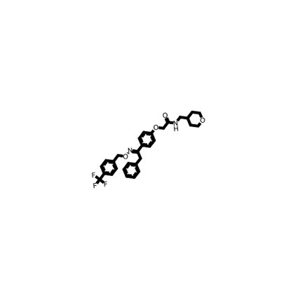 O=C(COc1ccc(/C(Cc2ccccc2)=N/OCc2ccc(C(F)(F)F)cc2)cc1)NCC1CCOCC1